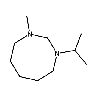 CC(C)N1CCCCCN(C)C1